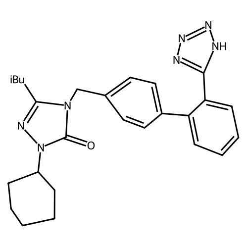 CCC(C)c1nn(C2CCCCC2)c(=O)n1Cc1ccc(-c2ccccc2-c2nnn[nH]2)cc1